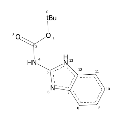 CC(C)(C)OC(=O)Nc1nc2ccccc2[nH]1